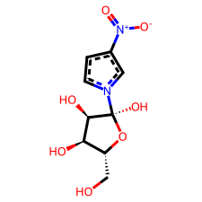 O=[N+]([O-])c1ccn([C@@]2(O)O[C@H](CO)[C@@H](O)[C@H]2O)c1